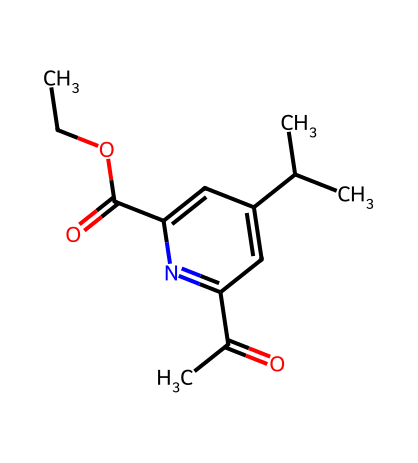 CCOC(=O)c1cc(C(C)C)cc(C(C)=O)n1